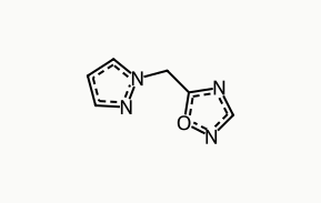 c1cnn(Cc2ncno2)c1